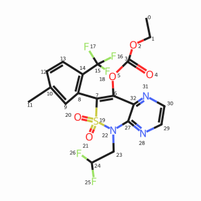 CCOC(=O)OC1=C(c2cc(C)ccc2C(F)(F)F)S(=O)(=O)N(CC(F)F)c2nccnc21